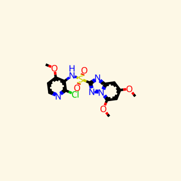 COc1cc(OC)n2nc(S(=O)(=O)Nc3c(OC)ccnc3Cl)nc2c1